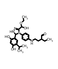 CCOC(O)C1=NNC(c2cc(C(C)C)c(O)cc2O)N1c1ccc(NCCC(C=O)CC)cc1